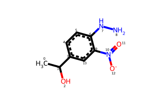 CC(O)c1ccc(NN)c([N+](=O)[O-])c1